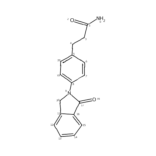 NC(=O)CCc1ccc(N2Cc3ccccc3C2=O)cc1